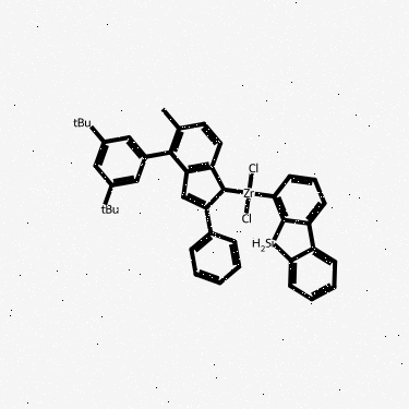 Cc1ccc2c(c1-c1cc(C(C)(C)C)cc(C(C)(C)C)c1)C=C(c1ccccc1)[CH]2[Zr]([Cl])([Cl])[c]1cccc2c1[SiH2]c1ccccc1-2